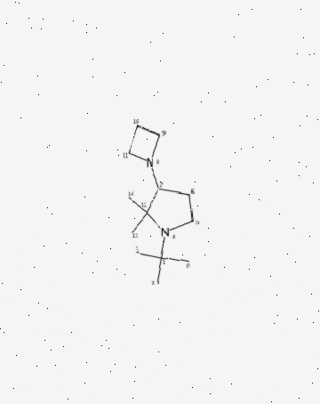 CC(C)(C)N1CCC(N2CCC2)C1(C)C